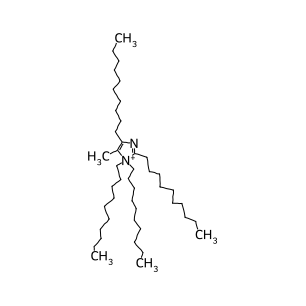 CCCCCCCCCCC1=NC(CCCCCCCCCC)=C(C)[N+]1(CCCCCCCCCC)CCCCCCCCCC